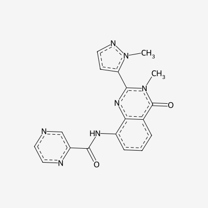 Cn1nccc1-c1nc2c(NC(=O)c3cnccn3)cccc2c(=O)n1C